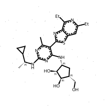 CCc1cc2sc(-c3c(C)nc(N[C@H](C)C4CC4)nc3N[C@@H]3C[C@H](CO)[C@@H](O)[C@H]3O)nc2c(CC)n1